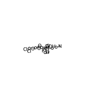 COc1cccc(F)c1CN1Cc2cc3c(cc2C[C@H]1C(=O)NC(Cc1ccc(-c2ccc(C#N)cc2)cc1)C(=O)O)OC[C@H](c1ccc(OCc2ccc(Cl)c(Cl)c2)cc1)O3